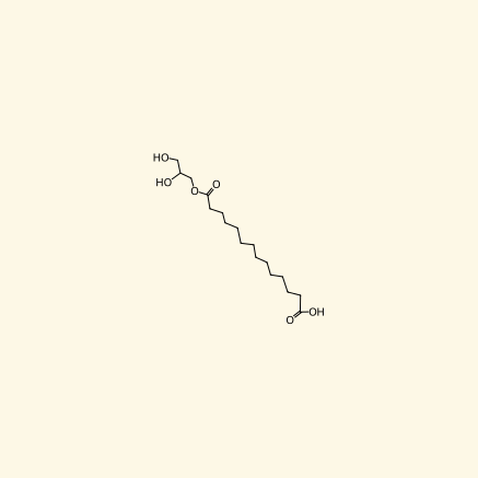 O=C(O)CCCCCCCCCCCCC(=O)OCC(O)CO